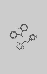 CB(c1ccccc1)c1ccccc1F.c1cn(CCC2OCCO2)cn1